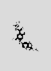 CC(F)(F)c1ncc(Oc2cc(F)c(C(=O)NS(C)(=O)=O)cc2Cl)cc1Cl